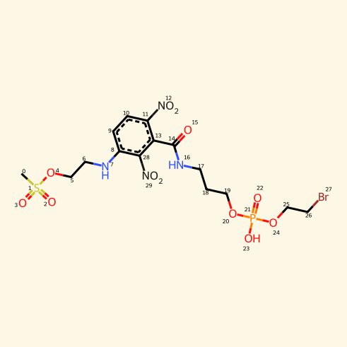 CS(=O)(=O)OCCNc1ccc([N+](=O)[O-])c(C(=O)NCCCOP(=O)(O)OCCBr)c1[N+](=O)[O-]